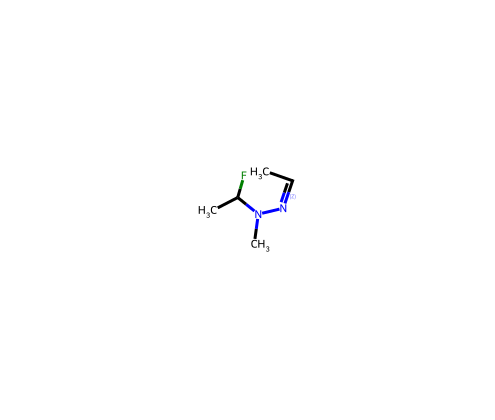 C/C=N\N(C)C(C)F